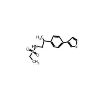 CCS(=O)(=O)NCC(C)c1ccc(-c2ccsc2)cc1